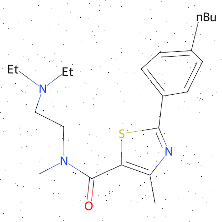 CCCCc1ccc(-c2nc(C)c(C(=O)N(C)CCN(CC)CC)s2)cc1